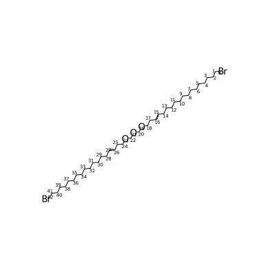 BrCCCCCCCCCCCCCCC=CCCOCOCOCCC=CCCCCCCCCCCCCCCBr